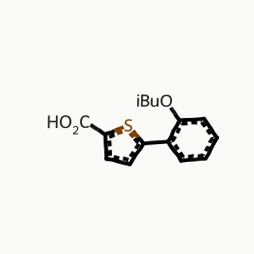 CC(C)COc1ccccc1-c1ccc(C(=O)O)s1